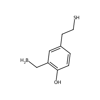 BCc1cc(CCS)ccc1O